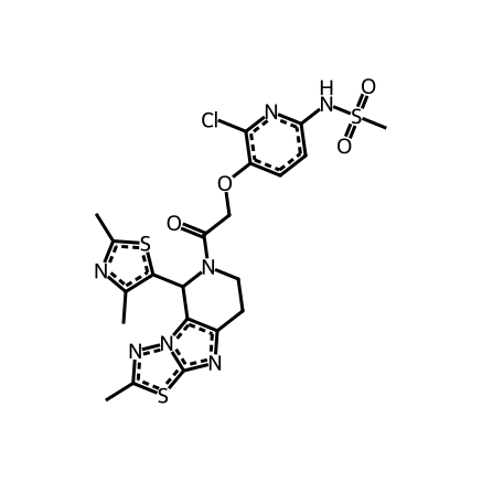 Cc1nc(C)c(C2c3c(nc4sc(C)nn34)CCN2C(=O)COc2ccc(NS(C)(=O)=O)nc2Cl)s1